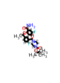 CC(Oc1ccc(F)cc1C(N)=O)c1ccc(F)c(C(=O)N2CCN(C(=O)OC(C)(C)C)CC2)c1